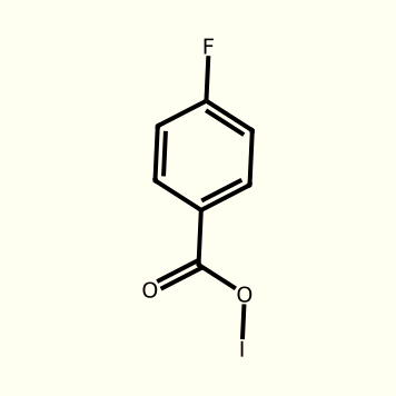 O=C(OI)c1ccc(F)cc1